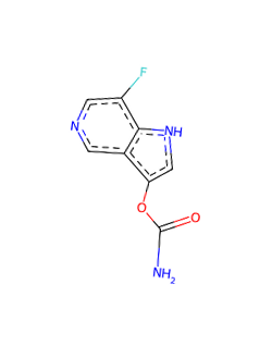 NC(=O)Oc1c[nH]c2c(F)cncc12